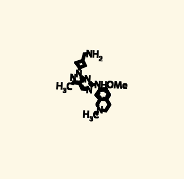 COc1cc2c(cc1Nc1ncc3c(C)nn(C4CC(CN)C4)c3n1)CN(C)CC2